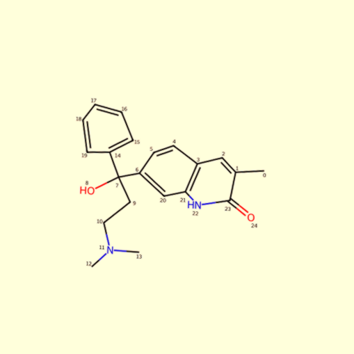 Cc1cc2ccc(C(O)(CCN(C)C)c3ccccc3)cc2[nH]c1=O